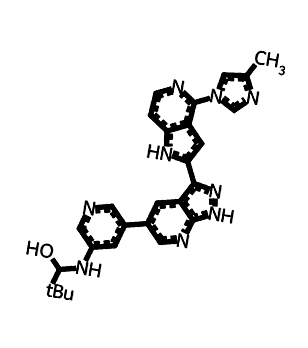 Cc1cn(-c2nccc3[nH]c(-c4n[nH]c5ncc(-c6cncc(NC(O)C(C)(C)C)c6)cc45)cc23)cn1